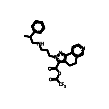 CC(CNCCCn1nc2c(c1C(=O)OC(=O)C(F)(F)F)CCc1cnccc1-2)c1ccccc1